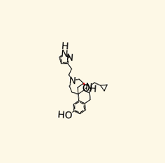 Oc1ccc2c(c1)C13CCN(CCc4cc[nH]n4)CCC1(O)C(C2)N(CC1CC1)CC3